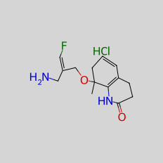 CC1(OC/C(=C\F)CN)CC=CC2=C1NC(=O)CC2.Cl